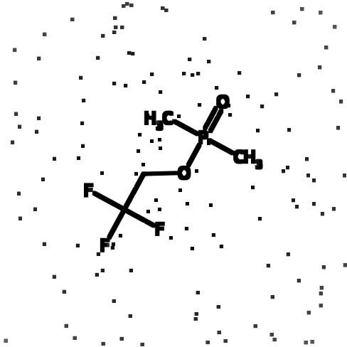 CP(C)(=O)OCC(F)(F)F